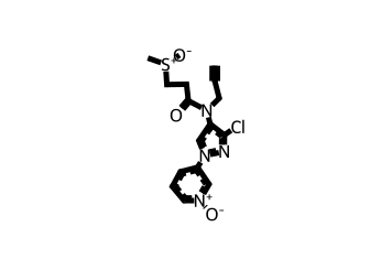 C#CCN(C(=O)CC[S+](C)[O-])c1cn(-c2ccc[n+]([O-])c2)nc1Cl